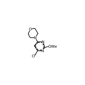 COc1nc(Cl)cc(N2CCOCC2)n1